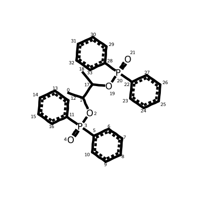 CC(OP(=O)(c1ccccc1)c1ccccc1)C(C)OP(=O)(c1ccccc1)c1ccccc1